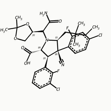 CCC(C)(C)C[C@@H]1N(C(C(N)=O)[C@H]2COC(C)(C)O2)[C@@H](C(=O)O)[C@H](c2cccc(Cl)c2F)[C@@]1(C#N)c1ccc(Cl)cc1F